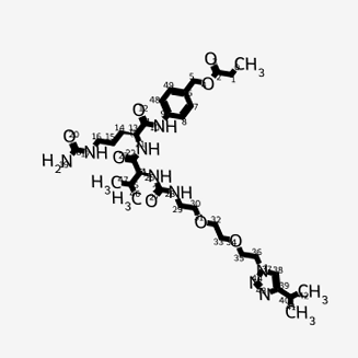 CCC(=O)OCc1ccc(NC(=O)[C@H](CCCNC(N)=O)NC(=O)[C@@H](NC(=O)NCCOCCOCCn2cc(C(C)C)nn2)C(C)C)cc1